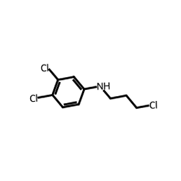 ClCCCNc1ccc(Cl)c(Cl)c1